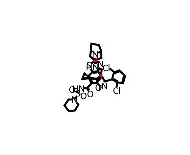 O=C(NS(=O)(=O)N1CCCCC1)c1cc2sc(N3C4CCC3CC(NCc3c(-c5c(Cl)cccc5Cl)noc3C3CC3)C4)nc2cc1F